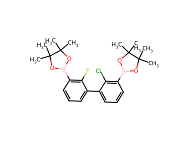 CC1(C)OB(c2cccc(-c3cccc(B4OC(C)(C)C(C)(C)O4)c3Cl)c2F)OC1(C)C